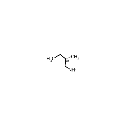 CC[C@H](C)C[NH]